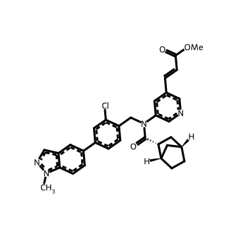 COC(=O)/C=C/c1cncc(N(Cc2ccc(-c3ccc4c(cnn4C)c3)cc2Cl)C(=O)[C@@H]2C[C@@H]3CC[C@H]2C3)c1